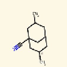 CC1CC2C[C@@H](C)CC(C#N)(C1)C2